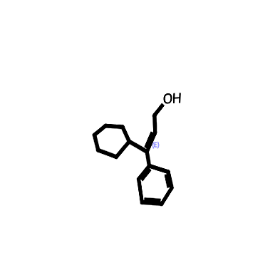 OC/C=C(/c1ccccc1)C1CCCCC1